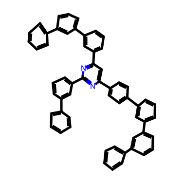 c1ccc(-c2cccc(-c3cccc(-c4ccc(-c5cc(-c6cccc(-c7cccc(-c8ccccc8)c7)c6)nc(-c6cccc(-c7ccccc7)c6)n5)cc4)c3)c2)cc1